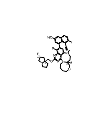 C#Cc1c(F)ccc2cc(O)cc(-c3nc4c5c(nc(OC[C@@]67CCCN6C[C@H](F)C7)nc5c3F)N3CCCCOC[C@H]3CCN4C)c12